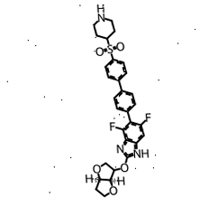 O=S(=O)(c1ccc(-c2ccc(-c3c(F)cc4[nH]c(OC5CO[C@@H]6CCO[C@H]56)nc4c3F)cc2)cc1)C1CCNCC1